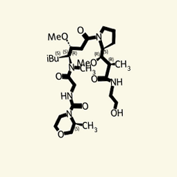 CC[C@H](C)[C@@H]([C@@H](CC(=O)N1CCC[C@H]1[C@H](OC)[C@@H](C)C(=O)NCCO)OC)N(C)C(=O)CNC(=O)N1CCOC[C@@H]1C